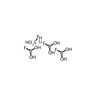 O=S(=O)(O)F.OB(O)F.OB(O)F.OB(O)F.[LiH]